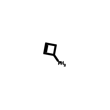 PC1C=CC1